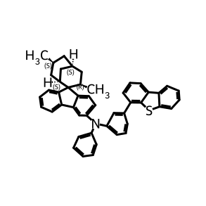 C[C@H]1C[C@@H]2C[C@H](C1)C1(c3ccccc3-c3cc(N(c4ccccc4)c4cccc(-c5cccc6c5sc5ccccc56)c4)ccc31)[C@H](C)C2